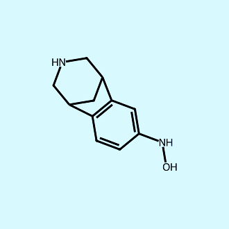 ONc1ccc2c(c1)C1CNCC2C1